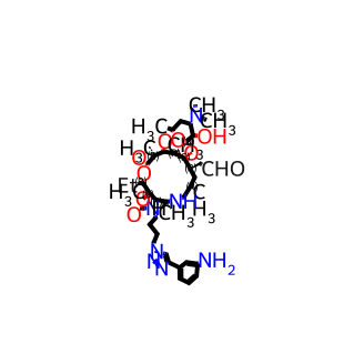 CC[C@H]1OC(=O)[C@H](C)C(=O)[C@H](C)[C@@H](O[C@@H]2OC(C)CC(N(C)C)C2O)[C@@H](CC=O)C[C@@H](C)CN[C@H](C)[C@H]2N(CCCCn3cc(-c4cccc(N)c4)nn3)C(=O)O[C@]12C